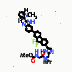 CCCN(Cc1ncc(-c2ccc3c(c2)C(F)(F)c2cc(-c4ccc5nc([C@@H]6[C@H]7CC[C@H](C7)N6C)[nH]c5c4)ccc2-3)[nH]1)C(=O)CNC(=O)OC